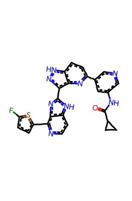 O=C(Nc1cncc(-c2ccc3[nH]nc(-c4nc5c(-c6ccc(F)s6)nccc5[nH]4)c3n2)c1)C1CC1